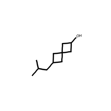 CC(C)CC1CC2(CC(O)C2)C1